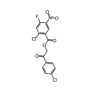 O=C(COC(=O)c1cc([N+](=O)[O-])c(F)cc1Cl)c1ccc(Cl)cc1